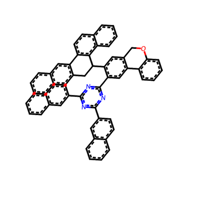 c1ccc2c(c1)OCc1cc(C3Cc4cc5ccccc5cc4-c4ccc5ccccc5c43)c(-c3nc(-c4ccc5ccccc5c4)nc(-c4ccc5ccccc5c4)n3)cc1-2